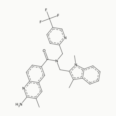 Cc1cc2cc(C(=O)N(Cc3ccc(C(F)(F)F)cn3)Cc3c(C)c4ccccc4n3C)ccc2nc1N